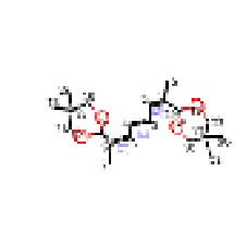 C/C(=C/C=C/C=C(/C)C1OCC(C)(C)CO1)C1OCC(C)(C)CO1